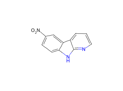 O=[N+]([O-])c1ccc2[nH]c3ncccc3c2c1